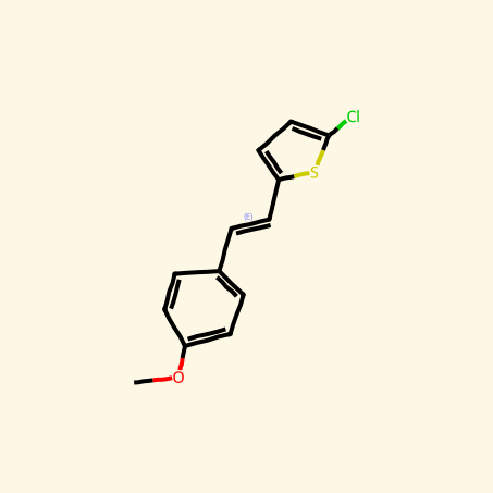 COc1ccc(/C=C/c2ccc(Cl)s2)cc1